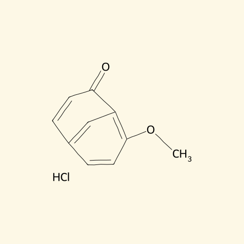 COc1ccc2cc1C(=O)C=C2.Cl